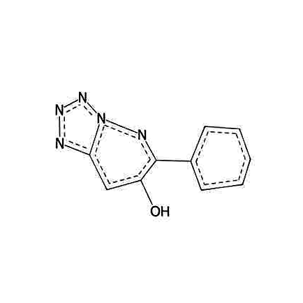 Oc1cc2nnnn2nc1-c1ccccc1